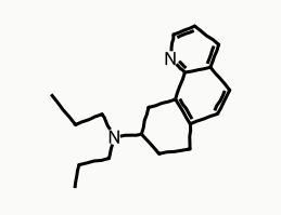 CCCN(CCC)C1CCc2ccc3cccnc3c2C1